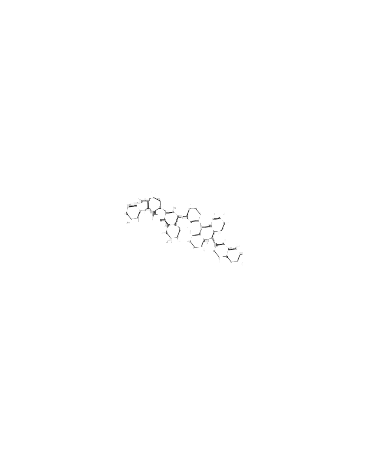 c1cc(-c2c3ccccc3c(-c3ccc4ccccc4c3)c3ccccc23)cc(-c2cc3c4ccc5sc6ccccc6c5c4oc3c3ccccc23)c1